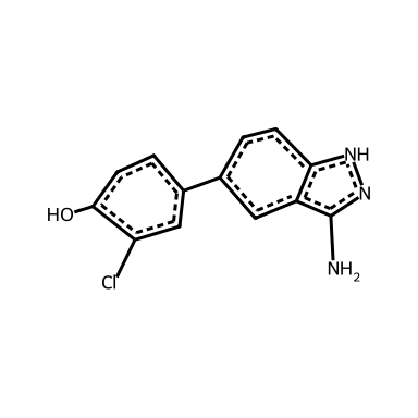 Nc1n[nH]c2ccc(-c3ccc(O)c(Cl)c3)cc12